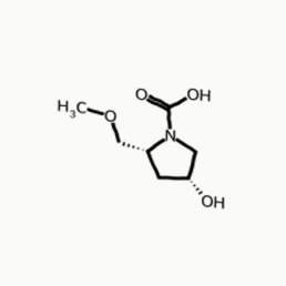 COC[C@H]1C[C@@H](O)CN1C(=O)O